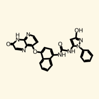 O=C(Nc1ccc(Oc2ccnc3[nH]c(=O)cnc23)c2ccccc12)Nc1cc(O)nn1-c1ccccc1